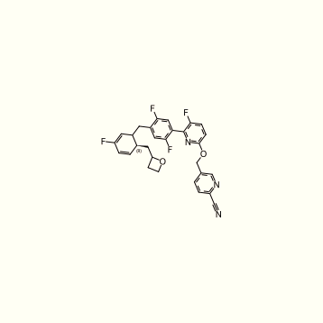 N#Cc1ccc(COc2ccc(F)c(-c3cc(F)c(CC4C=C(F)C=C[C@@H]4CC4CCO4)cc3F)n2)cn1